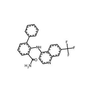 NC(=O)c1cccc(-c2ccccc2)c1Nc1ccnc2cc(C(F)(F)F)ccc12